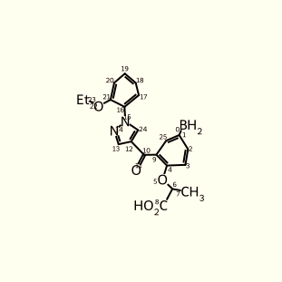 Bc1ccc(OC(C)C(=O)O)c(C(=O)c2cnn(-c3ccccc3OCC)c2)c1